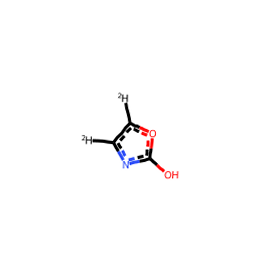 [2H]c1nc(O)oc1[2H]